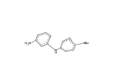 CC(C)(C)c1ccc(Nc2cccc([N+](=O)[O-])c2)cc1